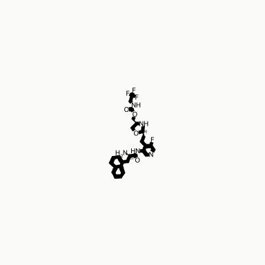 N[C@@H](Cc1cccc2ccccc12)C(=O)Nc1cncc(F)c1CC[C@@H]1CN[C@H](COC(=O)NCC(F)(F)F)CO1